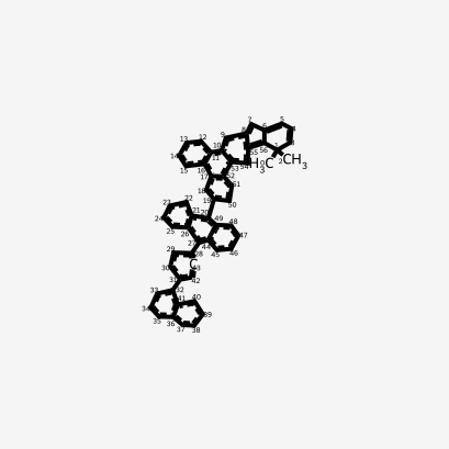 CC1(C)C=CC=C2C=c3cc4c5ccccc5c5cc(-c6c7ccccc7c(-c7ccc(-c8cccc9ccccc89)cc7)c7ccccc67)ccc5c4cc3=C21